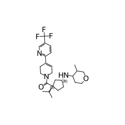 CC1COCCC1N[C@@H]1CC[C@@](C(=O)N2CC=C(c3ccc(C(F)(F)F)cn3)CC2)(C(C)C)C1